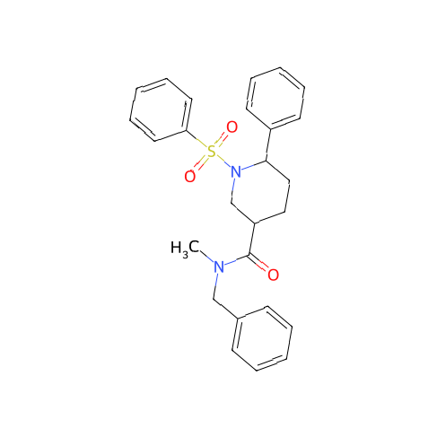 CN(Cc1ccccc1)C(=O)C1CCC(c2ccccc2)N(S(=O)(=O)c2ccccc2)C1